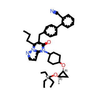 CCCc1c(Cc2ccc(-c3ccccc3C#N)cc2)c(=O)n(C2CCC(O[C@@H]3C[C@@]3(C)O[Si](CC)(CC)CC)CC2)c2ccnn12